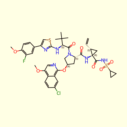 C=C[C@@H]1C[C@]1(NC(=O)[C@@H]1C[C@@H](Oc2ncc(OC)c3ccc(Cl)cc23)CN1C(=O)[C@@H](Nc1nc(-c2ccc(OC)c(F)c2)cs1)C(C)(C)C)C(=O)NS(=O)(=O)C1CC1